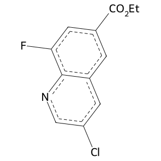 CCOC(=O)c1cc(F)c2ncc(Cl)cc2c1